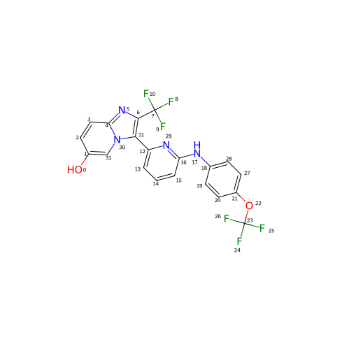 Oc1ccc2nc(C(F)(F)F)c(-c3cccc(Nc4ccc(OC(F)(F)F)cc4)n3)n2c1